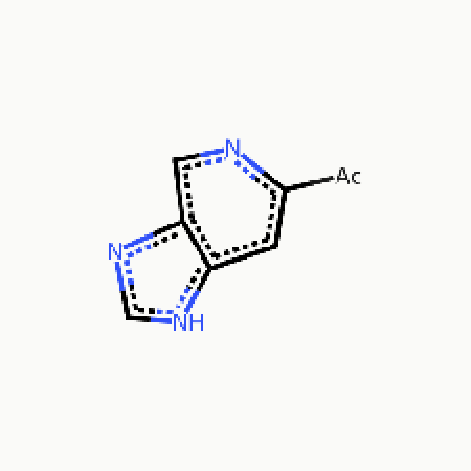 CC(=O)c1cc2[nH]cnc2cn1